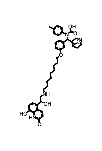 Cc1ccc(N(C(=O)O)[C@@H](c2cccc(OCCCCCCCCCNC[C@H](O)c3ccc(O)c4[nH]c(=O)ccc34)c2)C2CN3CCC2CC3)cc1